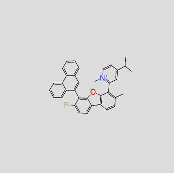 Cc1ccc2c(oc3c(-c4cc5ccccc5c5ccccc45)c(F)ccc32)c1-c1cc(C(C)C)cc[n+]1C